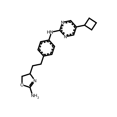 NC1=NC(CCc2ccc(Nc3ncc(C4CCC4)cn3)cc2)CO1